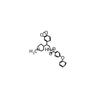 CN1CCC(C(CNS(=O)(=O)c2ccc(Oc3ccccc3)cc2)c2ccc3c(c2)OCO3)CC1